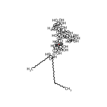 CCCCCCCC/C=C\CCCCCCCCCCCCCCCC(=O)N[C@@H](CO[C@@H]1OC(CO)[C@@H](O[C@@H]2OC(CO)[C@H](O)[C@H](O[C@@H]3OC(CO)[C@@H](O[C@@H]4OC(CO[C@@H]5OC(CO)[C@@H](O[C@@H]6OC(CO)[C@H](O)[C@H](O)C6O)[C@H](O)C5NC(C)=O)[C@H](O)[C@H](O[C@@H]5OC(CO)[C@@H](O[C@@H]6OC(CO)[C@H](O)[C@H](O)C6O)[C@H](O)C5NC(C)=O)C4O)[C@H](O)C3NC(C)=O)C2O)[C@H](O)C1O)[C@H](O)/C=C/CCCCCCCCCCCCC